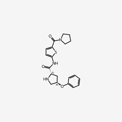 O=C(Nc1ccc(C(=O)N2CCCC2)s1)[C@@H]1C[C@@H](Oc2ccccc2)CN1